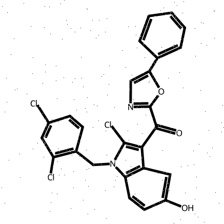 O=C(c1ncc(-c2ccccc2)o1)c1c(Cl)n(Cc2ccc(Cl)cc2Cl)c2ccc(O)cc12